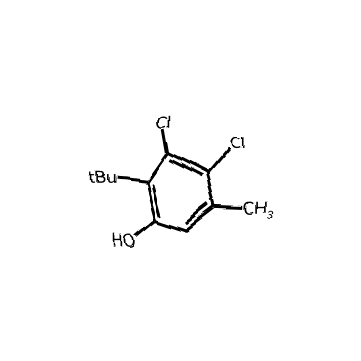 Cc1cc(O)c(C(C)(C)C)c(Cl)c1Cl